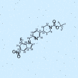 CC(C)(C)OC(=O)N1CCC(c2ccc(Cn3ccc4cc([N+](=O)[O-])cc(F)c43)nc2)CC1